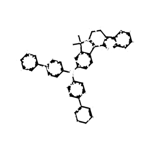 CC1(C)C2=C(c3ccc(N(c4ccc(C5=CCCC=C5)cc4)c4ccc(-c5ccccc5)cc4)cc31)c1oc3ccccc3c1CC2